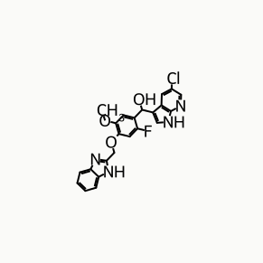 COc1cc(C(O)c2c[nH]c3ncc(Cl)cc23)c(F)cc1OCc1nc2ccccc2[nH]1